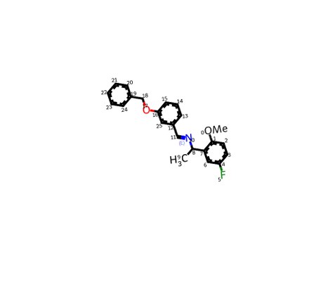 COc1ccc(F)cc1C(C)/N=C/c1cccc(OCc2ccccc2)c1